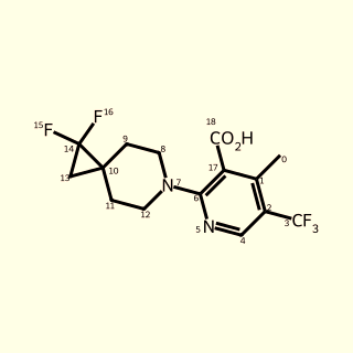 Cc1c(C(F)(F)F)cnc(N2CCC3(CC2)CC3(F)F)c1C(=O)O